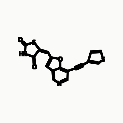 O=C1NC(=O)/C(=C\c2cc3cncc(C#Cc4ccsc4)c3o2)S1